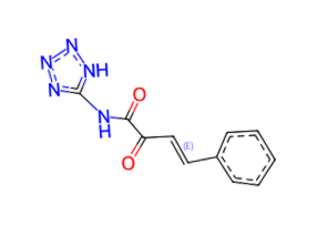 O=C(/C=C/c1ccccc1)C(=O)Nc1nnn[nH]1